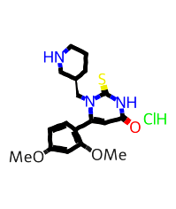 COc1ccc(-c2cc(=O)[nH]c(=S)n2C[C@@H]2CCCNC2)c(OC)c1.Cl